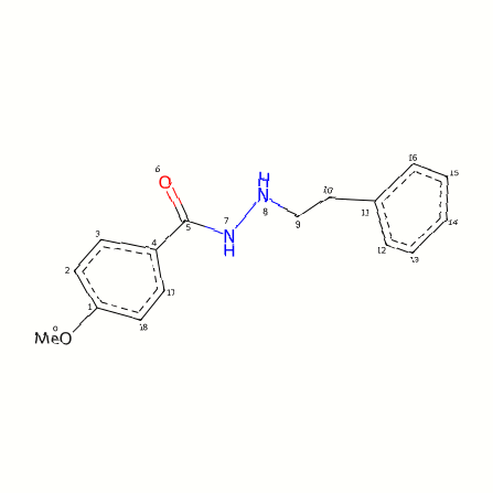 COc1ccc(C(=O)NNCCc2ccccc2)cc1